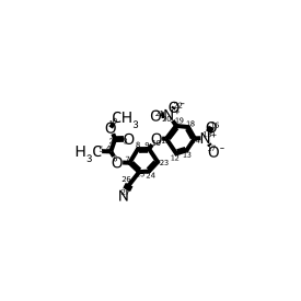 COC(=O)C(C)Oc1cc(Oc2ccc([N+](=O)[O-])cc2[N+](=O)[O-])ccc1C#N